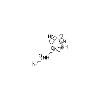 CN(C)CC=CC(=O)NCCCCC(=O)N1CC[C@@H](Nc2ncc(Cl)c(-c3c[nH]c4ccccc34)n2)C1